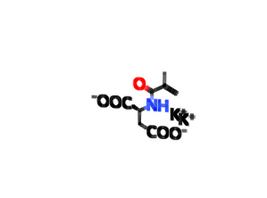 C=C(C)C(=O)N[C@@H](CC(=O)[O-])C(=O)[O-].[K+].[K+]